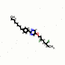 CCCCCCCCc1ccc(-c2ncc(OCCC(F)CCC(F)CC)cn2)cc1